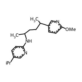 COc1ccc(C(C)CCC(C)Nc2ccc(C(C)C)cn2)cn1